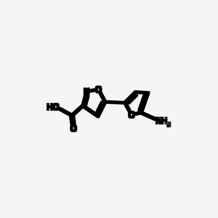 Nc1ccc(-c2cc(C(=O)O)no2)o1